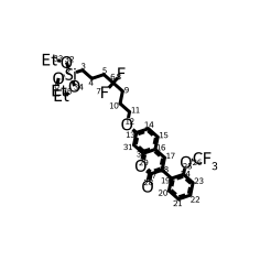 CCO[Si](CCCC(F)(F)CCCOc1ccc2cc(-c3ccccc3OC(F)(F)F)c(=O)oc2c1)(OCC)OCC